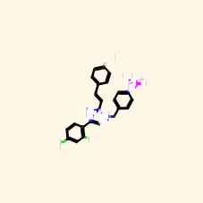 O=[N+]([O-])c1ccc(Cn2cc(-c3ccc(Cl)cc3Cl)nc2C=Cc2ccc(O)cc2)cc1